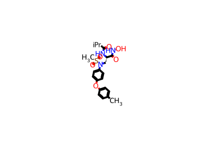 Cc1ccc(Oc2ccc(N(C[C@H](NC(=O)C(C)C)C(=O)NO)S(C)(=O)=O)cc2)cc1